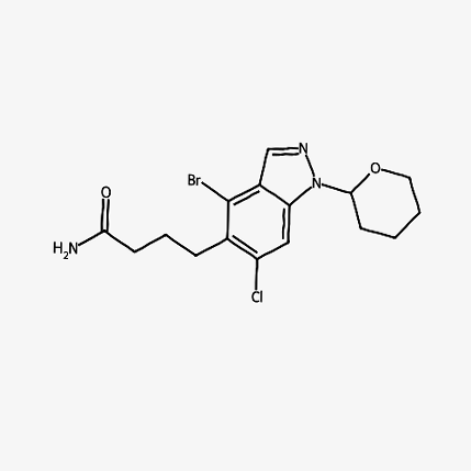 NC(=O)CCCc1c(Cl)cc2c(cnn2C2CCCCO2)c1Br